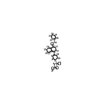 COC(=O)C[C@H](Cl)c1ccc(-c2ccc(OCc3ccccc3)c3ccccc23)cc1